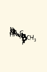 Cc1cc(F)cc2c1cc(C)n2CCNc1ccncn1